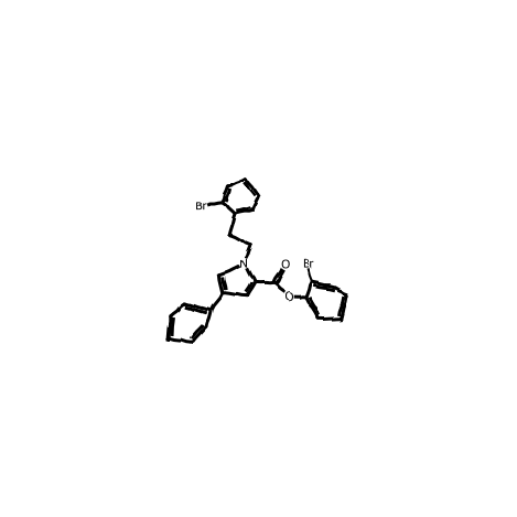 O=C(Oc1ccccc1Br)c1cc(-c2ccccc2)cn1CCc1ccccc1Br